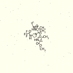 C=CC1CC1(NC(=O)[C@@H]1C[C@@H](NC(=O)C(F)(F)F)CN1C(=O)[C@@H](NC(=O)CC1CC1)C(C)(C)C)C(=O)OCC